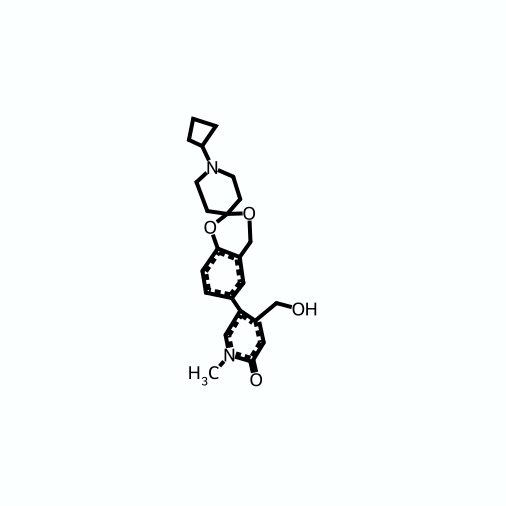 Cn1cc(-c2ccc3c(c2)COC2(CCN(C4CCC4)CC2)O3)c(CO)cc1=O